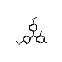 COc1ccc(P(c2ccc(OC)cc2)c2ccc(C)cc2C)cc1